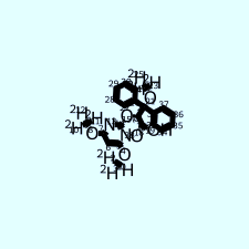 [2H]C([2H])([2H])Oc1cc(OC([2H])([2H])[2H])nc(O[C@H](C(=O)O)C(OC([2H])([2H])[2H])(c2ccccc2)c2ccccc2)n1